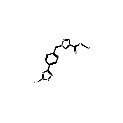 CC(C)OC(=O)c1cnn(Cc2ccc(-c3noc(C(F)(F)F)n3)cc2)c1